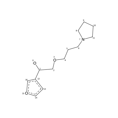 [O]C(COCCCN1CCCC1)c1ccoc1